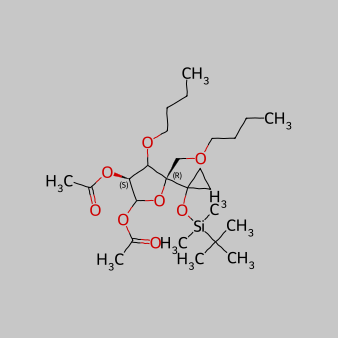 CCCCOC[C@@]1(C2(O[Si](C)(C)C(C)(C)C)CC2)OC(OC(C)=O)[C@@H](OC(C)=O)C1OCCCC